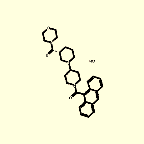 Cl.O=C(c1c2ccccc2cc2ccccc12)N1CCC(N2CCC[C@@H](C(=O)N3CCOCC3)C2)CC1